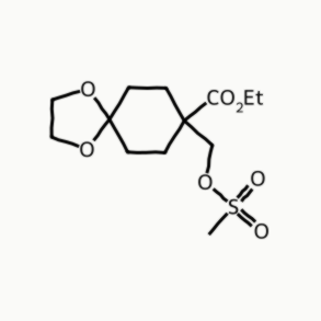 CCOC(=O)C1(COS(C)(=O)=O)CCC2(CC1)OCCO2